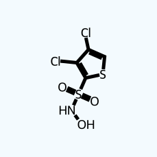 O=S(=O)(NO)c1scc(Cl)c1Cl